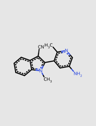 Cc1ncc(N)cc1-c1c(C#N)c2ccccc2n1C